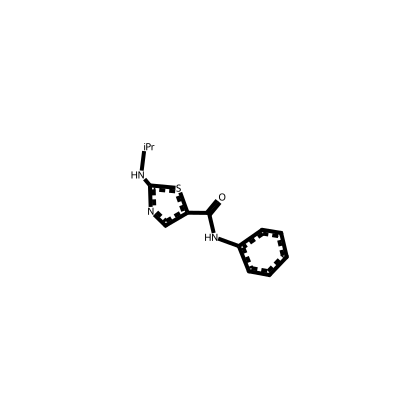 CC(C)Nc1ncc(C(=O)Nc2ccccc2)s1